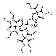 CCOC(=O)C(OC(=O)CC(O)(CC(=O)OC(C(=O)OCC)(C(=O)OCC)C(=O)OCC)C(=O)OC(C(=O)OCC)(C(=O)OCC)C(=O)OCC)(C(=O)OCC)C(=O)OCC